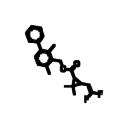 Cc1ccc(-c2ccccc2)c(C)c1COC(=O)C1C(C=C(F)F)C1(C)C